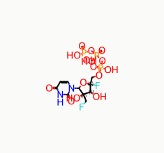 O=c1ccn(C2O[C@](F)(COP(=O)(O)OP(=O)(O)OP(=O)(O)O)[C@@H](O)[C@]2(O)CF)c(=O)[nH]1